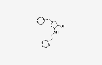 OC1CN(Cc2ccccc2)CC1NCCc1ccccc1